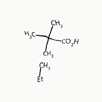 CC(C)(C)C(=O)O.CCC